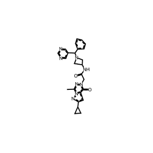 Cc1nn(CC(=O)NC2CN(C(c3ccccc3)c3cncnc3)C2)c(=O)c2cc(C3CC3)nn12